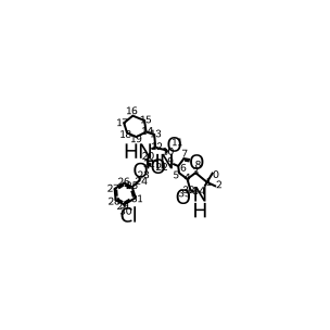 CC1(C)CC(CC(C=O)NC(=O)C(CC2CCCCC2)NC(=O)OCc2cccc(Cl)c2)C(=O)N1